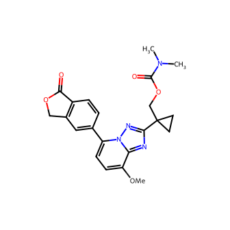 COc1ccc(-c2ccc3c(c2)COC3=O)n2nc(C3(COC(=O)N(C)C)CC3)nc12